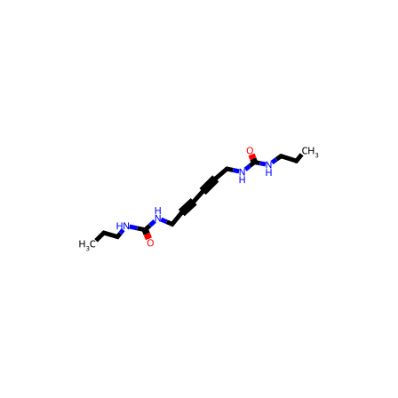 CCCNC(=O)NCC#CC#CCNC(=O)NCCC